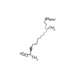 [CH2]CCCCCCCC(C)C#CCCCCCCCCC(C)CCCC(C)CC[CH2]